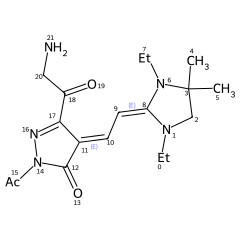 CCN1CC(C)(C)N(CC)/C1=C/C=C1/C(=O)N(C(C)=O)N=C1C(=O)CN